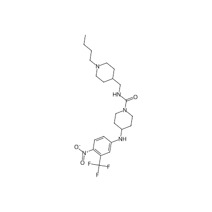 CCCCN1CCC(CNC(=O)N2CCC(Nc3ccc([N+](=O)[O-])c(C(F)(F)F)c3)CC2)CC1